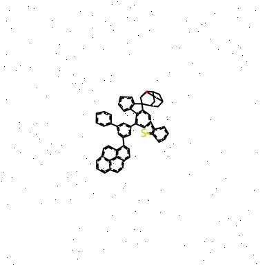 c1ccc(-c2cc(-c3ccc4ccc5cccc6ccc3c4c56)cc(-c3c4c(cc5c3sc3ccccc35)C3(c5ccccc5-4)C4CC5CC(C4)CC3C5)c2)cc1